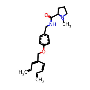 C=C/C=C\C(=C/C=C)COc1ccc(CNC(=O)C2CCCN2C)cc1